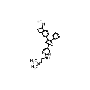 CN(C)CCNc1ncc(-c2cc(-c3ccc4c(c3)CCC4=NO)c(-c3ccncc3)o2)cn1